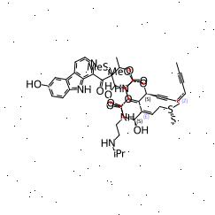 CC#C/C=C\C#C[C@H](OC1OC(C)C(SC)(C(=O)c2nccc3c2[nH]c2ccc(O)cc23)C(O)C1OC(=O)NCCNC(C)C)C1=C(NC(=O)OC)C(=O)C[C@H](O)/C1=C/CS(C)=S